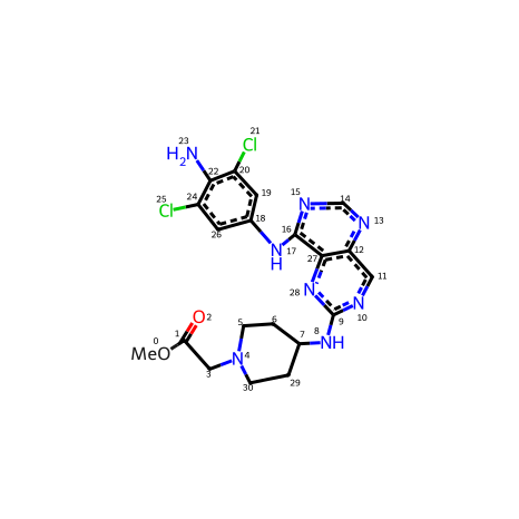 COC(=O)CN1CCC(Nc2ncc3ncnc(Nc4cc(Cl)c(N)c(Cl)c4)c3n2)CC1